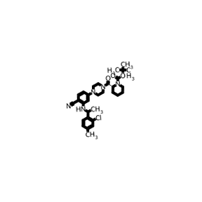 Cc1ccc(C(C)Nc2cc(N3CCN(C(=O)[C@H]4CCCCN4C(=O)OC(C)(C)C)CC3)ccc2C#N)c(Cl)c1